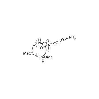 CO[C@@H]1[CH]/C(C)=C/[C@@H](C)[C@H](O)[C@H](OC)C[C@@H](C)CC2=C(NCCCOCCOCCCN)C(=O)C=C(NC(=O)/C(C)=C/C=C\1)C2=O